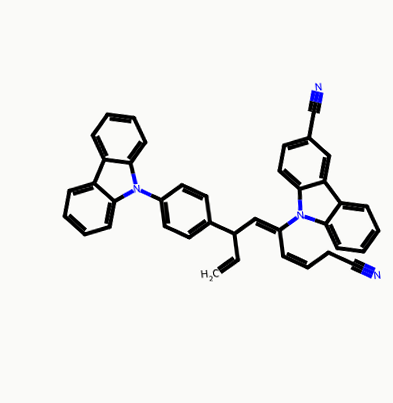 C=CC(/C=C(\C=C/CC#N)n1c2ccccc2c2cc(C#N)ccc21)c1ccc(-n2c3ccccc3c3ccccc32)cc1